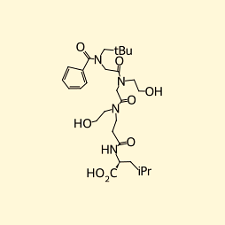 CC(C)C[C@H](NC(=O)CCN(CCO)C(=O)CN(CCO)C(=O)CN(CC(C)(C)C)C(=O)c1ccccc1)C(=O)O